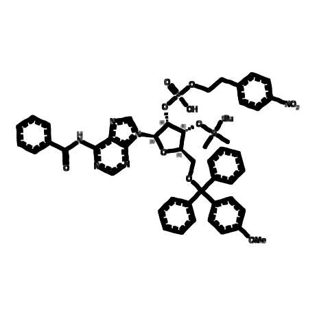 COc1ccc(C(OC[C@H]2O[C@@H](n3cnc4c(NC(=O)c5ccccc5)ncnc43)[C@H](OP(=O)(O)OCCc3ccc([N+](=O)[O-])cc3)[C@@H]2O[Si](C)(C)C(C)(C)C)(c2ccccc2)c2ccccc2)cc1